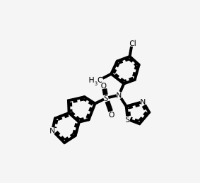 Cc1cc(Cl)ccc1N(c1nccs1)S(=O)(=O)c1ccc2cnccc2c1